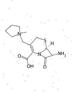 C[N+]1(CC2=C(C(=O)O)N3C(=O)C(N)[C@@H]3SC2)CCCC1